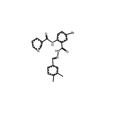 Cc1ccc(C=NNC(=O)c2cc(Br)ccc2NC(=O)c2cccnc2)cc1C